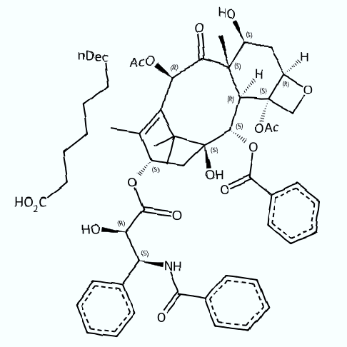 CC(=O)O[C@H]1C(=O)[C@@]2(C)[C@H]([C@H](OC(=O)c3ccccc3)[C@]3(O)C[C@H](OC(=O)[C@H](O)[C@@H](NC(=O)c4ccccc4)c4ccccc4)C(C)=C1C3(C)C)[C@]1(OC(C)=O)CO[C@@H]1C[C@@H]2O.CCCCCCCCCCCCCCCC(=O)O